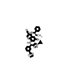 CC[C@@H](Nc1c(C#N)cnc2c(N[C@@H](c3cccc(-c4ncco4)c3)c3cn(C4CC4)nn3)cc(Br)cc12)c1ccccc1